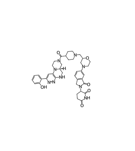 O=C1CCC(N2Cc3ccc(N4CCOC(CN5CCC(C(=O)N6CCN7c8cc(-c9ccccc9O)nnc8NC[C@H]7C6)CC5)C4)cc3C2=O)C(=O)N1